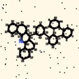 c1ccc(-c2ccccc2-c2cccc(-c3cccc(-c4c5ccc6ccccc6c5nc5c4ccc4ccccc45)c3)c2)cc1